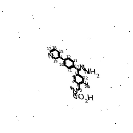 CN(Cc1ccc(/C(=N\N)c2ccc(-c3cccnc3)cc2)cc1I)C(=O)O